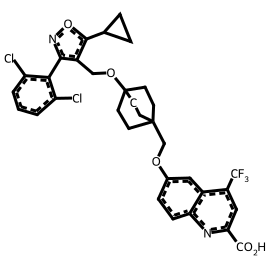 O=C(O)c1cc(C(F)(F)F)c2cc(OCC34CCC(OCc5c(-c6c(Cl)cccc6Cl)noc5C5CC5)(CC3)CC4)ccc2n1